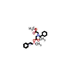 COC(=O)CN(CC(=O)OB(C)/C=C/c1ccccc1)[C@@H](C)C1CCCCC1